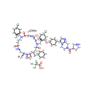 COC[C@@H]1NC(=O)[C@H](C)N(Cc2ccc(Cl)cc2Oc2ccc(-c3cnc4n3CCN(C(=O)C3CCNC3)C4)cc2)C(=O)C[C@@H](Cc2ccccc2)C(=O)N(C)[C@@H](C)CNC(=O)C[C@H](Cc2ccc(Cl)cc2)N(C)C1=O.O=C(O)C(F)(F)F